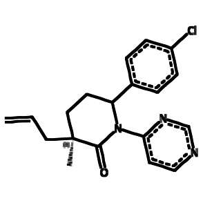 C=CC[C@@]1(C)CCC(c2ccc(Cl)cc2)N(c2ccncn2)C1=O